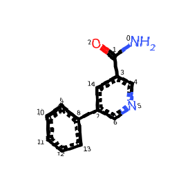 NC(=O)c1cncc(-c2ccccc2)c1